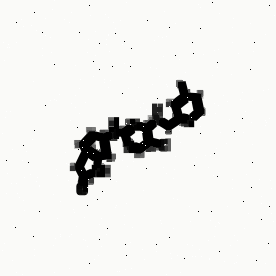 Cc1ccnc(CNc2nc(Nc3ccc4c(c3)NC(=O)C4)ncc2Cl)c1